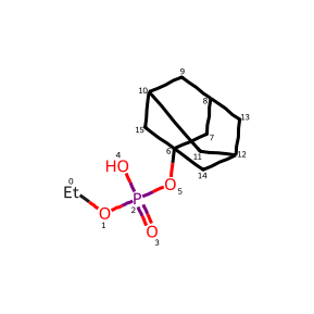 CCOP(=O)(O)OC12CC3CC(CC(C3)C1)C2